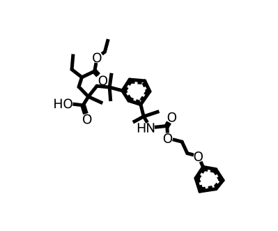 CCOC(=O)C(CC)CC(C)(CC(C)(C)c1cccc(C(C)(C)NC(=O)OCCOc2ccccc2)c1)C(=O)O